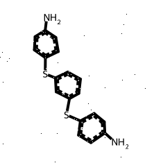 Nc1ccc(Sc2cccc(Sc3ccc(N)cc3)c2)cc1